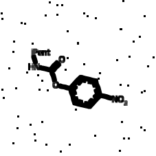 CCCC(C)NC(=O)Oc1ccc([N+](=O)[O-])cc1